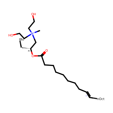 CCCCCCCC/C=C/CCCCCCCC(=O)O[C@H](CC(C)(C)C)C[N+](C)(CCO)CCO